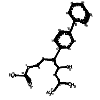 CC(C)CC(O)C(CCOC(N)=O)c1ccc(-c2ccccc2)cc1